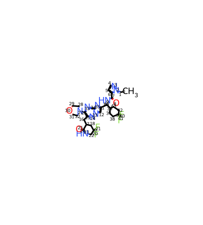 CCn1nccc1C(=O)N[C@H](c1cn2nc(CC3CC(F)(F)CNC3=O)c(N3CCOCC3)nc2n1)C1CCC(F)(F)CC1